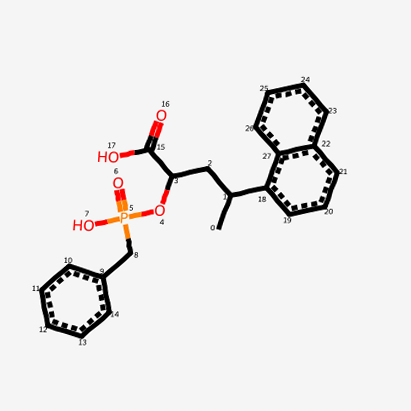 CC(CC(OP(=O)(O)Cc1ccccc1)C(=O)O)c1cccc2ccccc12